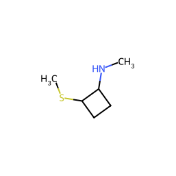 CNC1CCC1SC